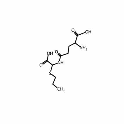 CCCSC(NC(=O)CCC(N)C(=O)O)C(=O)O